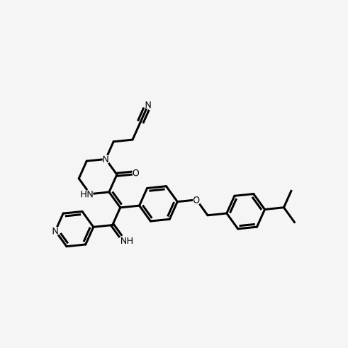 CC(C)c1ccc(COc2ccc(/C(C(=N)c3ccncc3)=C3/NCCN(CCC#N)C3=O)cc2)cc1